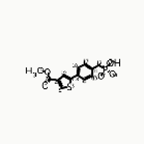 COC(=O)c1csc(-c2ccc(CP(=O)(O)O)cc2)c1